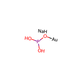 OP(O)[O][Au].[NaH]